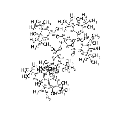 CC(C)(C)c1ccc(-c2c(C(=O)Oc3c(C(C)(C)C)cc(C(=O)OCC(COC(=O)c4cc(C(C)(C)C)c(O)c(C(C)(C)C)c4)(COC(=O)c4cc(C(C)(C)C)c(O)c(C(C)(C)C)c4)COC(=O)c4cc(C(C)(C)C)c(O)c(C(C)(C)C)c4)cc3C(C)(C)C)cc(C(C)(C)C)c(O)c2C(C)(C)C)c(C(C)(C)C)c1